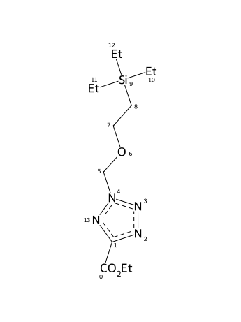 CCOC(=O)c1nnn(COCC[Si](CC)(CC)CC)n1